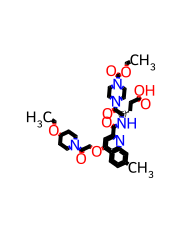 CCOC(=O)N1CCN(C(=O)[C@H](CCC(=O)O)NC(=O)c2cc(OCC(=O)N3CCC(OCC)CC3)c3ccc(C)cc3n2)CC1